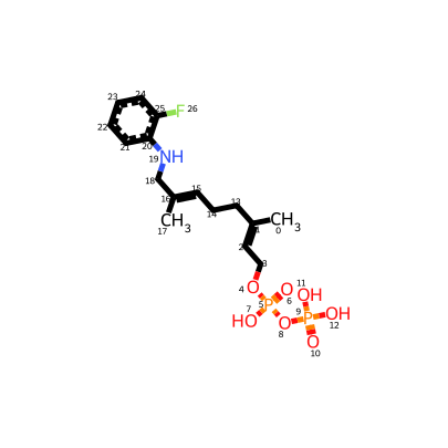 CC(=CCOP(=O)(O)OP(=O)(O)O)CCC=C(C)CNc1ccccc1F